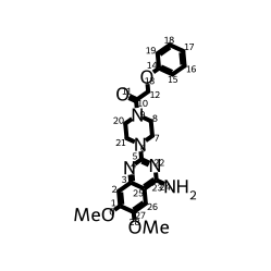 COc1cc2nc(N3CCN(C(=O)COc4ccccc4)CC3)nc(N)c2cc1OC